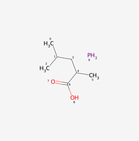 CC(C)CC(C)C(=O)O.P